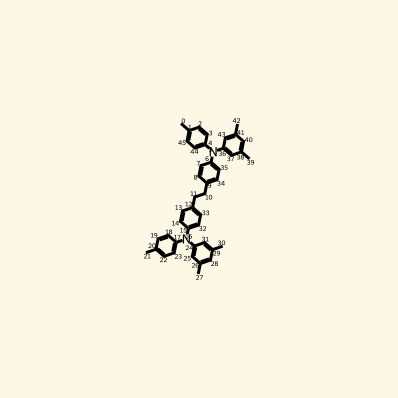 Cc1ccc(N(c2ccc(CCc3ccc(N(c4ccc(C)cc4)c4cc(C)cc(C)c4)cc3)cc2)c2cc(C)cc(C)c2)cc1